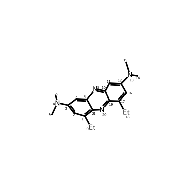 CCc1cc(N(C)C)cc2nc3cc(N(C)C)cc(CC)c3nc12